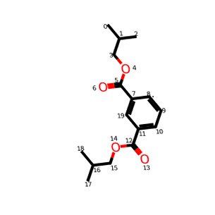 CC(C)COC(=O)c1[c]ccc(C(=O)OCC(C)C)c1